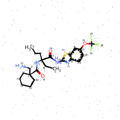 CCCC(CC)(NC(=O)C1(CN)CCCCC1)C(=O)Nc1nc2ccc(OC(F)(F)F)cc2s1